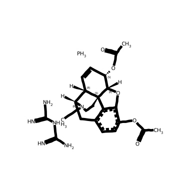 CC(=O)Oc1ccc2c3c1O[C@H]1[C@@H](OC(C)=O)C=C[C@H]4[C@@H](C2)N(C)CC[C@@]341.N=C(N)NC(=N)N.P